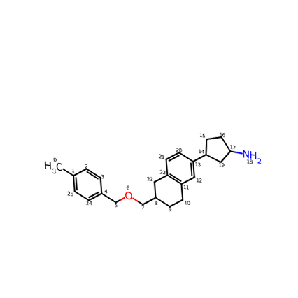 Cc1ccc(COCC2CCc3cc(C4CCC(N)C4)ccc3C2)cc1